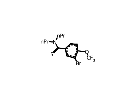 CCCN(CCC)C(=S)c1ccc(OC(F)(F)F)c(Br)c1